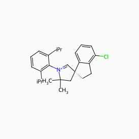 CC(C)c1cccc(C(C)C)c1[N+]1=C[C@]2(CCc3c(Cl)cccc32)CC1(C)C